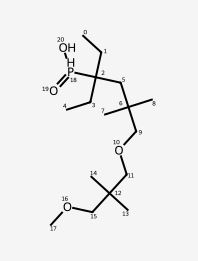 CCC(CC)(CC(C)(C)COCC(C)(C)COC)[PH](=O)O